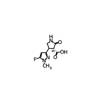 Cn1nc(C2CNC(=O)[C@@H]2C(=O)O)cc1F